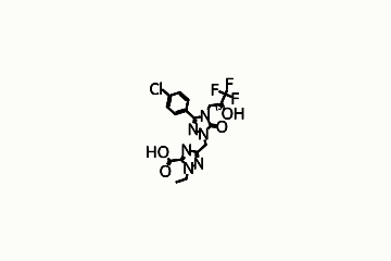 CCn1nc(Cn2nc(-c3ccc(Cl)cc3)n(C[C@H](O)C(F)(F)F)c2=O)nc1C(=O)O